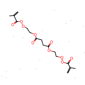 C=C(C)C(=O)OOCCOC(=O)CCC(=O)OCCOOC(=O)C(=C)C